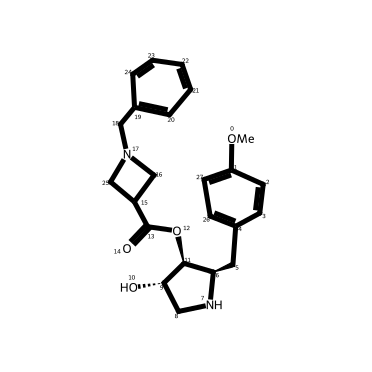 COc1ccc(C[C@H]2NC[C@H](O)[C@H]2OC(=O)C2CN(Cc3ccccc3)C2)cc1